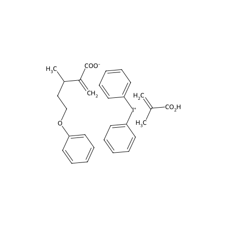 C=C(C(=O)[O-])C(C)CCOc1ccccc1.C=C(C)C(=O)O.c1ccc([I+]c2ccccc2)cc1